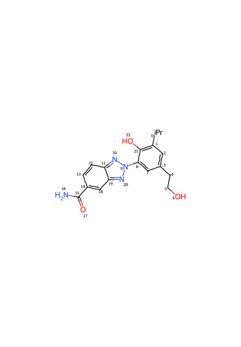 CC(C)c1cc(CCO)cc(-n2nc3ccc(C(N)=O)cc3n2)c1O